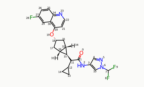 O=C(Nc1cnn(C(F)F)c1)C(C1CC1)[C@H]1[C@@H]2C[C@H](Oc3ccnc4ccc(F)cc34)C[C@@H]21